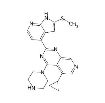 CSc1cc2c(-c3nc(N4CCNCC4)c4c(C5CC5)cncc4n3)ccnc2[nH]1